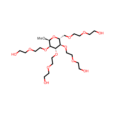 CO[C@H]1O[C@H](COCCOCCO)[C@@H](OCCOCCO)[C@H](OCCOCCO)[C@H]1OCCOCCO